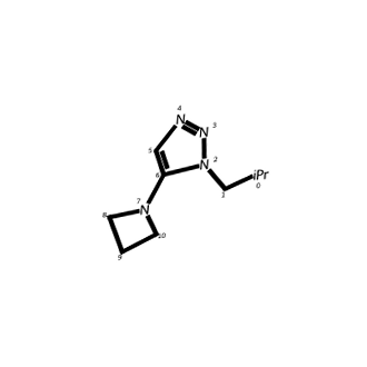 CC(C)Cn1nncc1N1CCC1